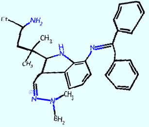 BN(C)/N=C\C1c2cccc(N=C(c3ccccc3)c3ccccc3)c2NC1C(C)(C)CC(N)CC